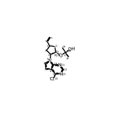 C=CC1CC(n2ccc3c(Cl)ncnc32)[C@H](OC(C)(C)O)C1